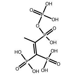 CC(=C(P(=O)(O)O)P(=O)(O)O)P(=O)(O)OP(=O)(O)O